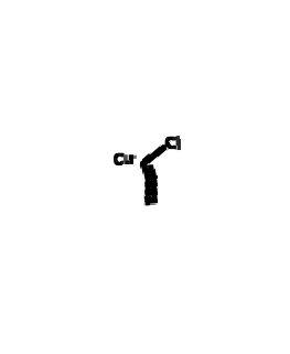 C=CCl.[Cu]